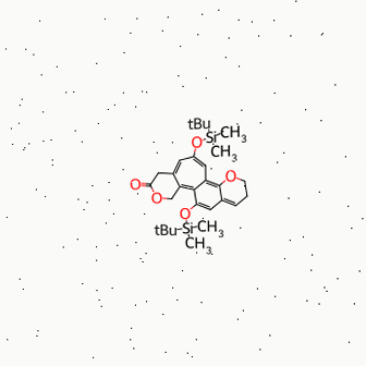 CC(C)(C)[Si](C)(C)OC1=Cc2c3c(cc(O[Si](C)(C)C(C)(C)C)c2=C2COC(=O)CC2=C1)=CCCO3